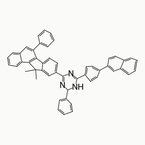 CC1(C)c2cc(C3=NC(c4ccccc4)NC(c4ccc(-c5ccc6ccccc6c5)cc4)=N3)ccc2-c2c(-c3ccccc3)cc3ccccc3c21